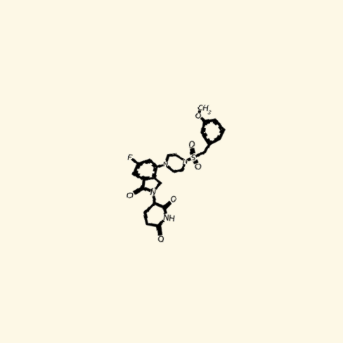 COc1cccc(CS(=O)(=O)N2CCN(c3cc(F)cc4c3CN(C3CCC(=O)NC3=O)C4=O)CC2)c1